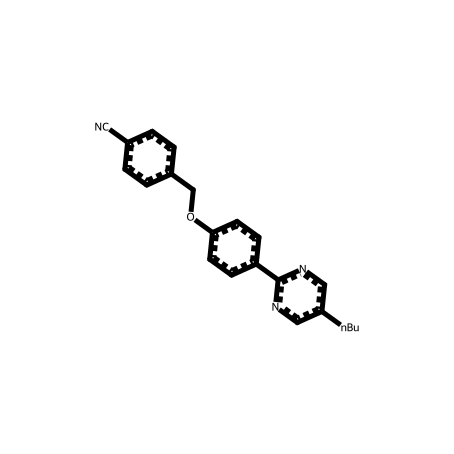 CCCCc1cnc(-c2ccc(OCc3ccc(C#N)cc3)cc2)nc1